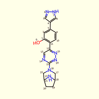 Oc1cc(-c2cn[nH]c2)ccc1-c1cnc(N2CC3CCC(C2)N3)nn1